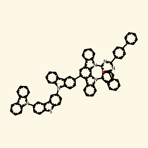 c1ccc(-c2ccc(-c3nc(-c4ccccc4)nc(-n4c5ccccc5c5cc(-c6ccc7c(c6)c6ccccc6n7-c6ccc7sc8ccc(-n9c%10ccccc%10c%10ccccc%109)cc8c7c6)c6c7ccccc7n(-c7ccccc7)c6c54)n3)cc2)cc1